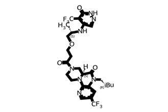 CC[C@@H](C)CN1C(=O)[C@@H]2CN(C(=O)CCOC[C@H](C)Nc3cn[nH]c(=O)c3C(F)(F)F)CCN2c2ncc(C(F)(F)F)cc21